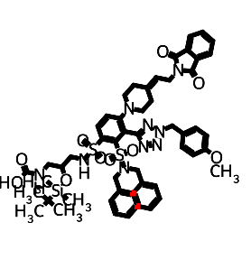 COc1ccc(Cn2nnc(-c3c(N4CCC(=CCN5C(=O)c6ccccc6C5=O)CC4)ccc(S(=O)(=O)NCC(CNC(=O)O)O[Si](C)(C)C(C)(C)C)c3S(=O)(=O)N(Cc3ccccc3)Cc3ccccc3)n2)cc1